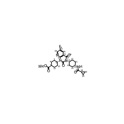 COC(=O)[C@H]1CC[C@H](n2c(=O)n([C@H]3CC[C@@H](NC(=O)C4CC4)CC3)c(=O)c3cc(F)cnc32)CC1